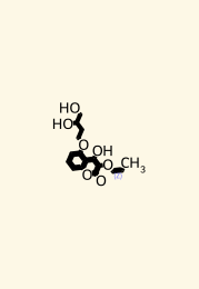 C/C=C\Oc1c(O)c2c(OCCC(O)CO)cccc2oc1=O